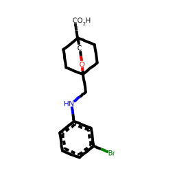 O=C(O)C12CCC(CNc3cccc(Br)c3)(CC1)OC2